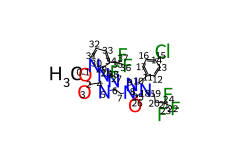 COC(=O)c1nc(Cn2nc(-c3ccc(Cl)cc3)n(CCC(F)(F)F)c2=O)nn1-c1ncccc1C(F)(F)F